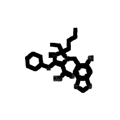 CCCCC1(CC)NC(SC2CCCCC2)=C(C(=O)O)N1Cc1cc2c(cc1Cl)OCO2